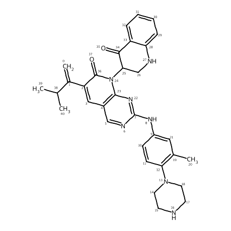 C=C(c1cc2cnc(Nc3ccc(N4CCNCC4)c(C)c3)nc2n(C2CNc3ccccc3C2=O)c1=O)C(C)C